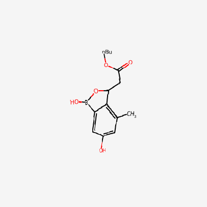 CCCCOC(=O)CC1OB(O)c2cc(O)cc(C)c21